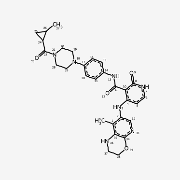 Cc1c(Nc2cc[nH]c(=O)c2C(=O)Nc2ccc(N3CCN(C(=O)C4CC4C)CC3)cc2)cnc2c1NCCO2